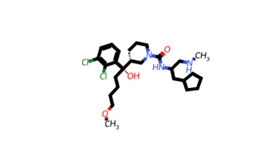 CNCC(CC1CCCC1)NC(=O)N1CCC[C@@H]([C@@](O)(CCCCOC)c2cccc(Cl)c2Cl)C1